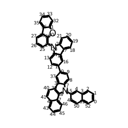 c1ccc2cc(-n3c4ccc(-c5ccc6c(c5)c5ccccc5n6-c5cccc6c5oc5ccccc56)cc4c4ccc5ccccc5c43)ccc2c1